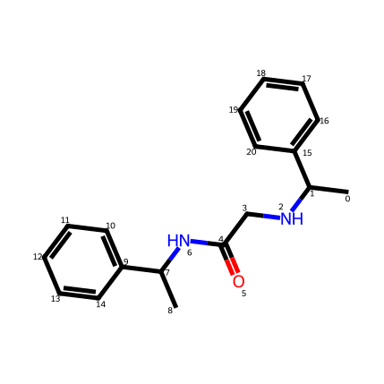 CC(NCC(=O)NC(C)c1ccccc1)c1ccccc1